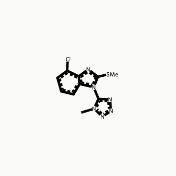 CSc1nc2c(Cl)cccc2n1-c1nnnn1C